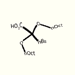 CCCCCCCCOC(CCCC)(OCCCCCCCC)C(=O)O